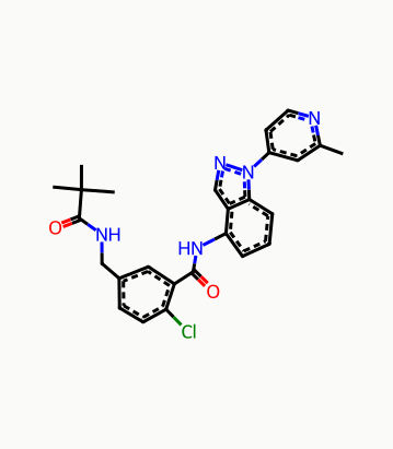 Cc1cc(-n2ncc3c(NC(=O)c4cc(CNC(=O)C(C)(C)C)ccc4Cl)cccc32)ccn1